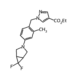 CCOC(=O)c1cnn(Cc2ccc(N3CC4C(C3)C4(F)F)cc2C)c1